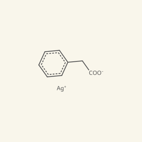 O=C([O-])Cc1ccccc1.[Ag+]